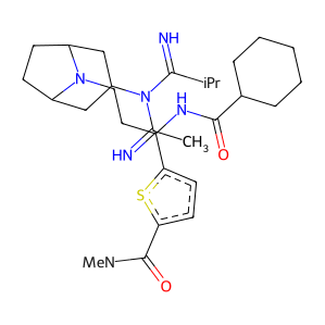 CNC(=O)c1ccc(C(CCN2C3CCC2CC(N(C(C)=N)C(=N)C(C)C)C3)NC(=O)C2CCCCC2)s1